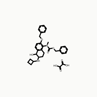 CN(C(=O)OCc1ccccc1)c1c(OCc2ccccc2)ccc2c1CCC(NC1CCC1)C2O.O=C(O)C(=O)O